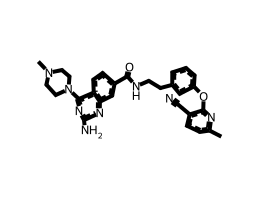 Cc1ccc(C#N)c(Oc2cccc(CCNC(=O)c3ccc4c(N5CCN(C)CC5)nc(N)nc4c3)c2)n1